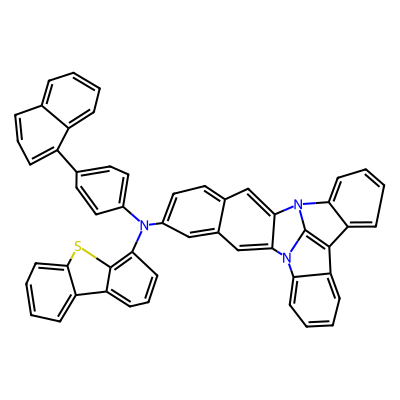 c1ccc2c(-c3ccc(N(c4ccc5cc6c(cc5c4)n4c5ccccc5c5c7ccccc7n6c54)c4cccc5c4sc4ccccc45)cc3)cccc2c1